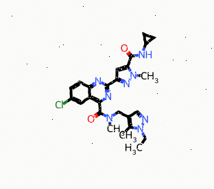 CCn1ncc(CN(C)C(=O)c2nc(-c3cc(C(=O)NC4CC4)n(C)n3)nc3ccc(Cl)cc23)c1C